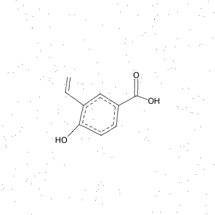 C=Cc1cc(C(=O)O)ccc1O